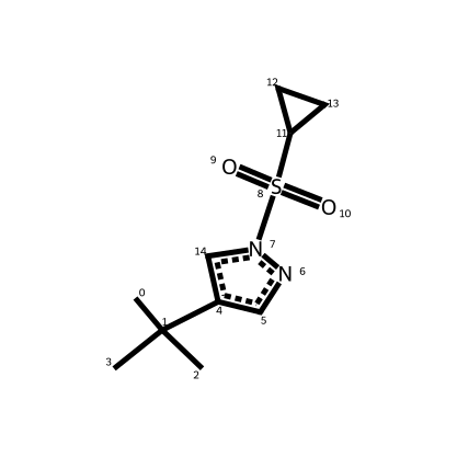 CC(C)(C)c1cnn(S(=O)(=O)C2CC2)c1